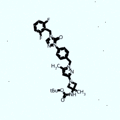 Cc1cc(N2CC(C)(NC(=O)OC(C)(C)C)C2)nn1Cc1ccc(-n2ncn(Cc3c(F)cccc3F)c2=O)cc1